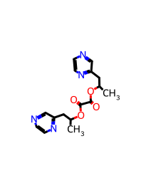 CC(Cc1cnccn1)OC(=O)C(=O)OC(C)Cc1cnccn1